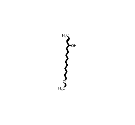 CC=CC(O)CCCCCCCCCCOCC